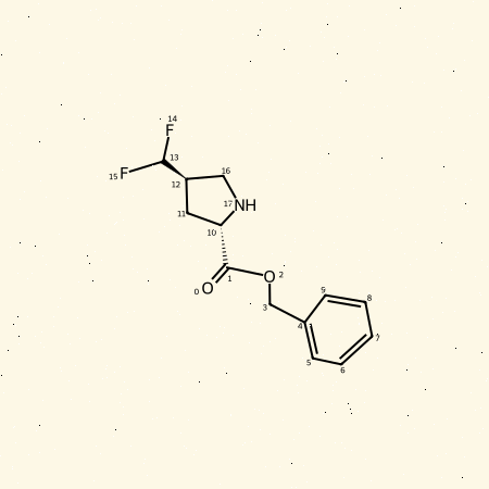 O=C(OCc1ccccc1)[C@@H]1C[C@@H](C(F)F)CN1